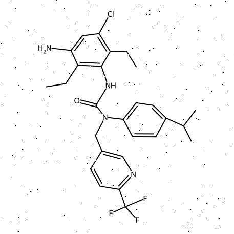 CCc1c(N)cc(Cl)c(CC)c1NC(=O)N(Cc1ccc(C(F)(F)F)nc1)c1ccc(C(C)C)cc1